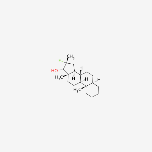 C[C@]12CCCC[C@@H]1CC[C@@H]1[C@@H]2CC[C@@]2(C)[C@H]1C[C@@](C)(F)[C@H]2O